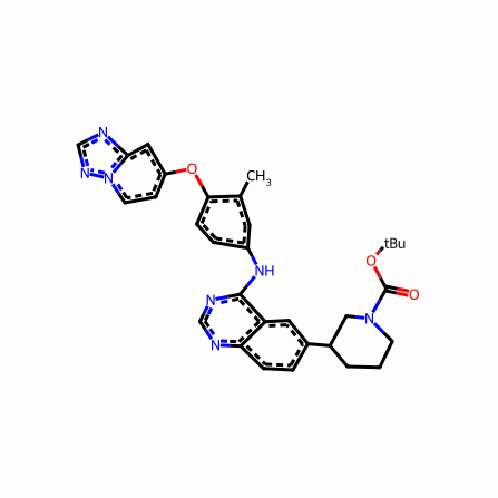 Cc1cc(Nc2ncnc3ccc(C4CCCN(C(=O)OC(C)(C)C)C4)cc23)ccc1Oc1ccn2ncnc2c1